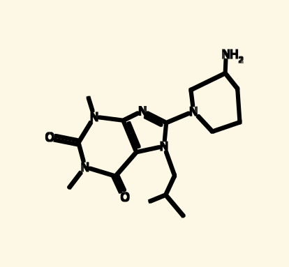 CC(C)Cn1c(N2CCCC(N)C2)nc2c1c(=O)n(C)c(=O)n2C